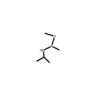 CON(C)NC(C)C